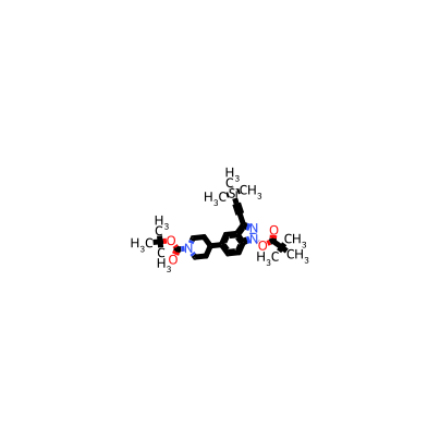 CC(C)(C)OC(=O)N1CCC(c2ccc3c(c2)c(C#C[Si](C)(C)C)nn3OC(=O)C(C)(C)C)CC1